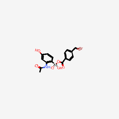 CC(=O)Nc1cc(O)ccc1[As](=O)(O)OC(=O)c1ccc(CBr)cc1